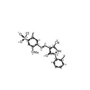 COc1cc(S(=O)(=O)Cl)c(C)cc1/N=N/c1c(C#N)[nH]n(-c2ccccc2C)c1=O